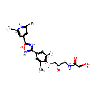 CCCc1cc(-c2nc(-c3cc(C)c(OC[C@@H](O)CNC(=O)CO)c(CC)c3)no2)cc(C)n1